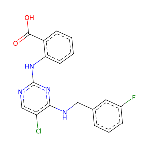 O=C(O)c1ccccc1Nc1ncc(Cl)c(NCc2cccc(F)c2)n1